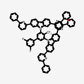 Fc1cc(F)cc(-c2cc(-n3c4cc(-c5cccc(-c6ccccc6)n5)ccc4c4ccc(-c5cccc(-c6ccccc6)n5)cc43)c(C(F)(F)F)c(-n3c4cc(-c5cccc(-c6ccccc6)n5)ccc4c4ccc(-c5cccc(-c6ccccc6)n5)cc43)c2)c1